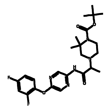 CC(C(=O)Nc1cnc(Oc2ccc(F)cc2F)cn1)N1CCN(C(=O)OC(C)(C)C)C(C)(C)C1